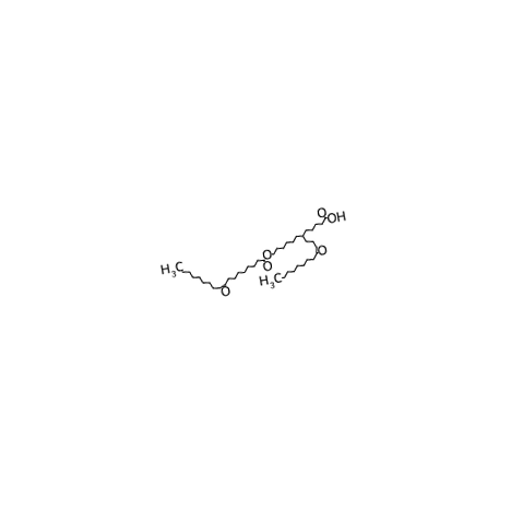 CCCCCCCCC1OC1CCCCCCCC(=O)OCCCCCCC(CCCCC(=O)O)CCC1OC1CCCCCCCC